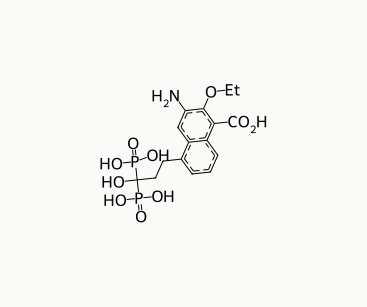 CCOc1c(N)cc2c(CCC(O)(P(=O)(O)O)P(=O)(O)O)cccc2c1C(=O)O